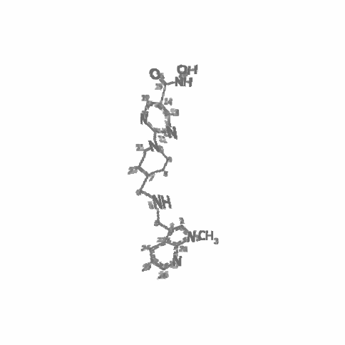 Cn1cc(CNCC2CCN(c3ncc(C(=O)NO)cn3)CC2)c2cccnc21